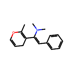 CC1=C(C(=Cc2ccccc2)N(C)C)CC=CO1